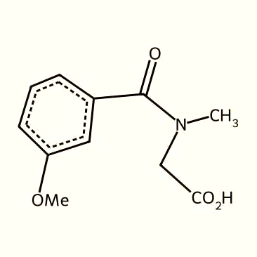 COc1cccc(C(=O)N(C)CC(=O)O)c1